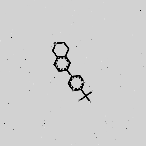 FC(F)(F)c1ncc(-c2ccc3c(c2)CCNC3)cn1